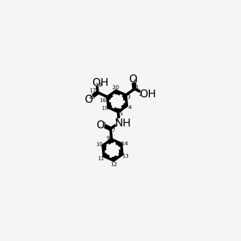 O=C(O)c1cc(NC(=O)c2ccccc2)cc(C(=O)O)c1